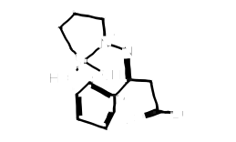 CCC(=O)CC(=NN1CCCC[Si]1(C)C)c1ccccc1